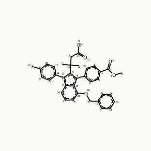 COC(=O)c1ccc(-c2c(C(C)(C)CC(=O)O)n(-c3ccc(F)cc3)c3cccc(OCc4ccccc4)c23)cc1